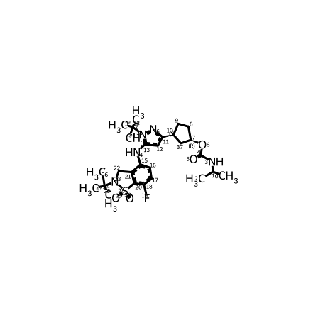 CC(C)NC(=O)O[C@@H]1CC[C@H](c2cc(Nc3ccc(F)c4c3CN(C(C)(C)C)S4(=O)=O)n(C(C)(C)C)n2)C1